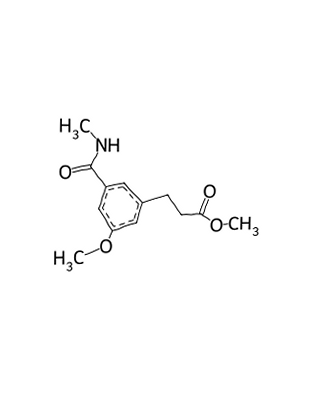 CNC(=O)c1cc(CCC(=O)OC)cc(OC)c1